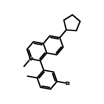 CCc1ccc(C)c(-c2c3ccc(C4CCCC4)cc3cc[n+]2C)c1